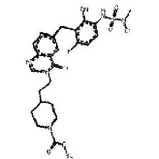 CCN(C)S(=O)(=O)Nc1ccc(F)c(Cc2ccc3ncn(CCC4CCN(C(=O)OC(C)(C)C)CC4)c(=O)c3c2)c1C#N